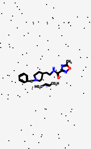 Cc1nc(C(=O)NCCC2CCN(Cc3ccccc3)CC2)no1.O=C(O)/C=C/C(=O)O